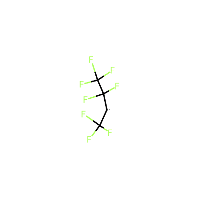 FC(F)(F)[CH]C(F)(F)C(F)(F)F